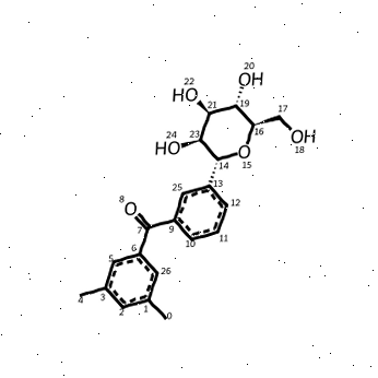 Cc1cc(C)cc(C(=O)c2cccc([C@H]3O[C@H](CO)[C@@H](O)[C@H](O)[C@@H]3O)c2)c1